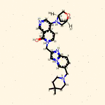 CC1(C)CCN(Cc2ccc3nc(Cn4ccc5c(N6C[C@H]7C[C@@H]6CO7)cncc5c4=O)cn3c2)CC1